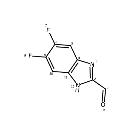 O=Cc1nc2cc(F)c(F)cc2[nH]1